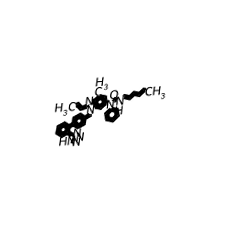 CCCCCCNC(=O)N(c1cc(C)c2nc(CCC)n(Cc3ccc(-c4ccccc4-c4nnn[nH]4)cc3)c2c1)C1CCCCC1